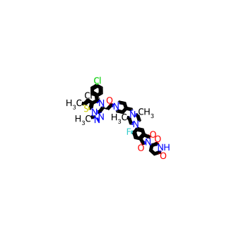 Cc1sc2c(c1C)C(c1ccc(Cl)cc1)=N[C@@H](CC(=O)N1CCC(CN3C(C)CN(c4cc5c(cc4F)C(=O)N(C4CCC(=O)NC4=O)C5=O)CC3C)CC1)c1nnc(C)n1-2